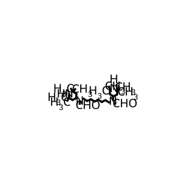 CC1(C)CC(N(C=O)CCCCCCCCN(C=O)C2CC(C)(C)NC(C)(C)C2)CC(C)(C)N1